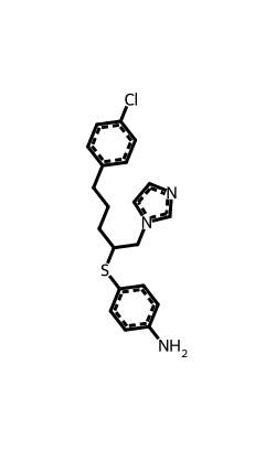 Nc1ccc(SC(CCCc2ccc(Cl)cc2)Cn2ccnc2)cc1